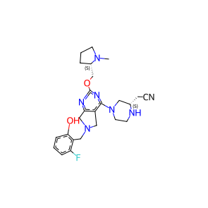 CN1CCC[C@H]1COc1nc2c(c(N3CCN[C@@H](CC#N)C3)n1)CN(Cc1c(O)cccc1F)C2